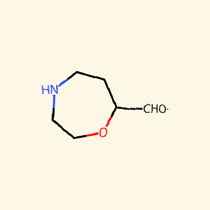 O=[C]C1CCNCCO1